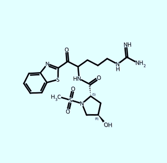 CS(=O)(=O)N1C[C@H](O)C[C@H]1C(=O)NC(CCCNC(=N)N)C(=O)c1nc2ccccc2s1